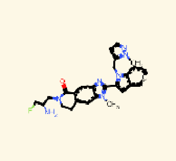 Cn1nccc1Cn1c(-c2nc3cc4c(cc3n2C)CCN(C[C@H](N)CF)C4=O)cc2ccccc21